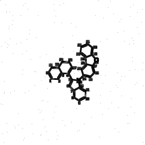 c1ccc2c(-c3cc4ccccc4n3-c3ccc4oc5ccccc5c4c3)cccc2c1